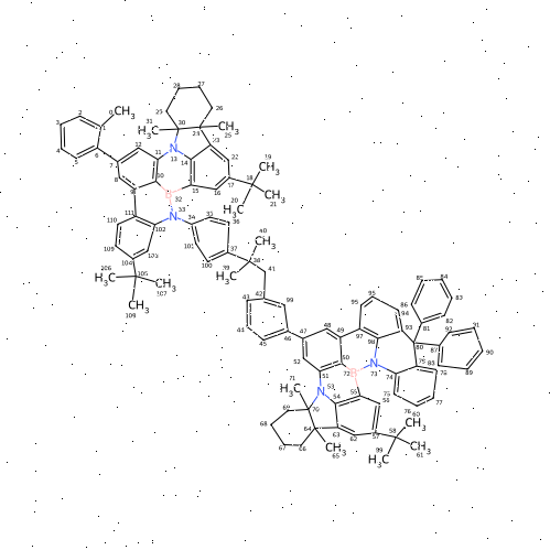 Cc1ccccc1-c1cc2c3c(c1)N1c4c(cc(C(C)(C)C)cc4C4(C)CCCCC14C)B3N(c1ccc(C(C)(C)Cc3cccc(-c4cc5c6c(c4)N4c7c(cc(C(C)(C)C)cc7C7(C)CCCCC47C)B6N4c6ccccc6C(c6ccccc6)(c6ccccc6)c6cccc-5c64)c3)cc1)c1cc(C(C)(C)C)ccc1-2